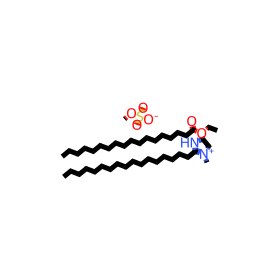 CCCCCCCCCCCCCCCCCC(=O)OCC.CCCCCCCCCCCCCCCCCC1=[N+](C)CCN1.COS(=O)(=O)[O-]